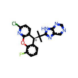 CC(C)(c1nc2cncnc2[nH]1)[C@@H]1c2ccc(Cl)nc2Oc2c(F)cccc21